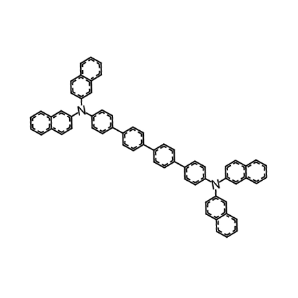 c1ccc2cc(N(c3ccc(-c4ccc(-c5ccc(-c6ccc(N(c7ccc8ccccc8c7)c7ccc8ccccc8c7)cc6)cc5)cc4)cc3)c3ccc4ccccc4c3)ccc2c1